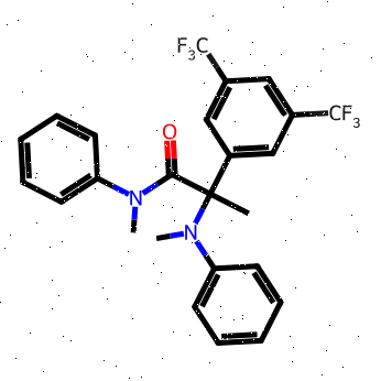 CN(C(=O)C(C)(c1cc(C(F)(F)F)cc(C(F)(F)F)c1)N(C)c1ccccc1)c1ccccc1